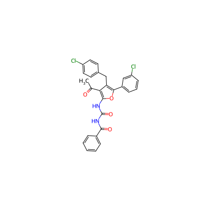 CC(=O)c1c(NC(=O)NC(=O)c2ccccc2)oc(-c2cccc(Cl)c2)c1Cc1ccc(Cl)cc1